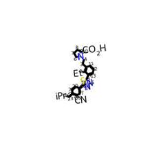 CCc1c(CCN2CCC[C@H]2C(=O)O)cccc1-c1nnc(-c2ccc(CC(C)C)c(C#N)c2)s1